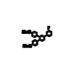 COc1ccc(-c2ccc(-c3cccc(F)c3)cc2-c2ccc(OC)cc2)cc1